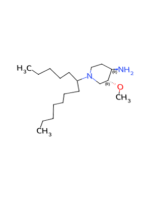 CCCCCCCC(CCCCC)N1CC[C@@H](N)[C@H](OC)C1